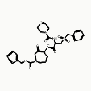 O=C1CN(C(=O)OCc2ccccc2)CCCC1NC(=O)[C@H](CS(=O)(=O)Cc1ccccc1)NC(=O)N1CCOCC1